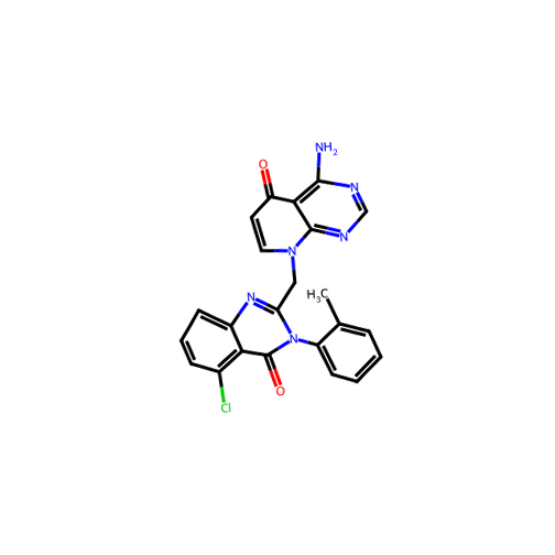 Cc1ccccc1-n1c(Cn2ccc(=O)c3c(N)ncnc32)nc2cccc(Cl)c2c1=O